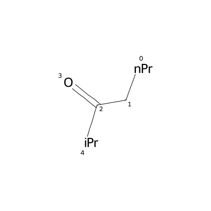 C[CH]CCC(=O)C(C)C